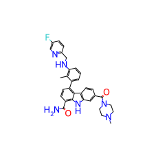 Cc1c(NCc2ccc(F)cn2)cccc1-c1ccc(C(N)=O)c2[nH]c3cc(C(=O)N4CCN(C)CC4)ccc3c12